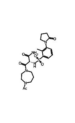 CC(=O)N1CCCN(C(=O)[C@@H](NS(=O)(=O)c2cccc(N3CCCC3=O)c2C)C(N)=O)CC1